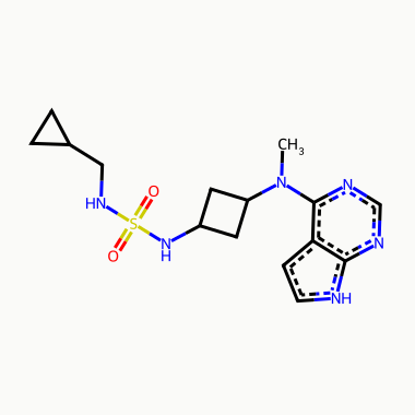 CN(c1ncnc2[nH]ccc12)C1CC(NS(=O)(=O)NCC2CC2)C1